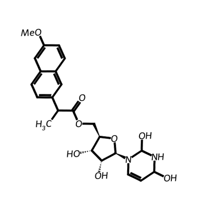 COc1ccc2cc(C(C)C(=O)OC[C@H]3O[C@@H](N4C=CC(O)NC4O)[C@H](O)[C@@H]3O)ccc2c1